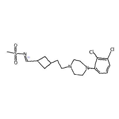 CS(=O)(=O)/N=C/C1CC(CCN2CCN(c3cccc(Cl)c3Cl)CC2)C1